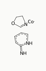 C1=NCCO1.N=c1cccc[nH]1.[Co]